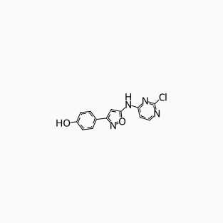 Oc1ccc(-c2cc(Nc3ccnc(Cl)n3)on2)cc1